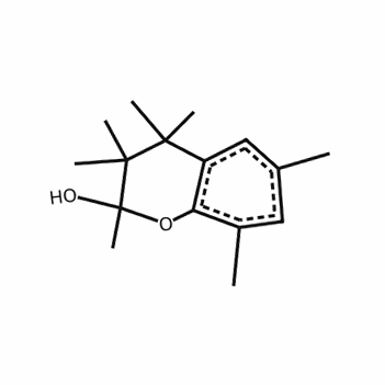 Cc1cc(C)c2c(c1)C(C)(C)C(C)(C)C(C)(O)O2